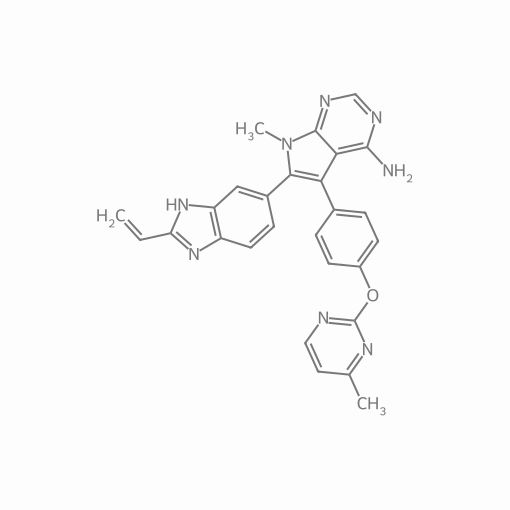 C=Cc1nc2ccc(-c3c(-c4ccc(Oc5nccc(C)n5)cc4)c4c(N)ncnc4n3C)cc2[nH]1